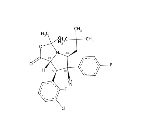 CC(C)(C)C[C@@H]1N2[C@@H](C(=O)OC2(C)C)[C@H](c2cccc(Cl)c2F)[C@@]1(C#N)c1ccc(F)cc1